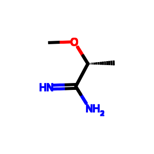 CO[C@H](C)C(=N)N